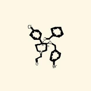 O=CCN1CC[C@@](OCc2ccccc2)(c2ccc(Cl)cc2)[C@@H](OCc2ccc(Br)cc2)C1